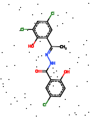 C/C(=N\NC(=O)c1cc(Cl)ccc1O)c1cc(Cl)cc(Cl)c1O